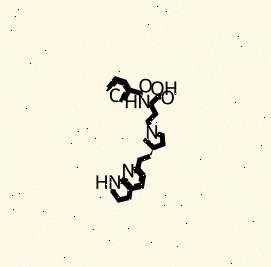 O=C(NC(CCN1CC[C@H](CCc2ccc3c(n2)NCCC3)C1)C(=O)O)c1ccccc1